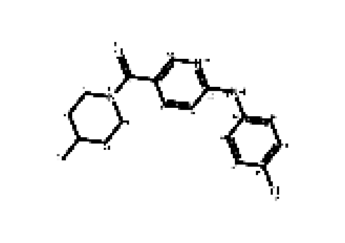 CC1CCN(C(=O)c2ccc(Nc3ccc(Cl)cc3)nc2)CC1